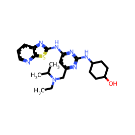 CCN(Cc1cc(Nc2nc3cccnc3s2)nc(NC2CCC(O)CC2)n1)C(C)C